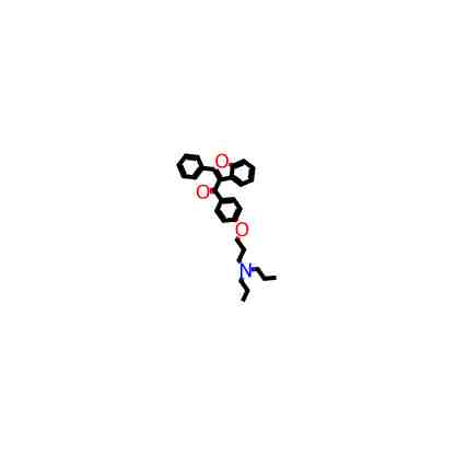 CCCN(CCC)CCCOc1ccc(C(=O)c2c(-c3ccccc3)oc3ccccc23)cc1